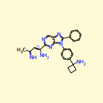 CC(=N)/C=C(\N)c1ncc2nc(-c3ccccc3)n(-c3ccc(C4(N)CCC4)cc3)c2n1